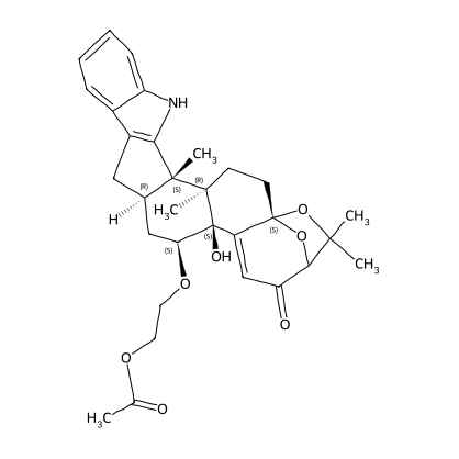 CC(=O)OCCO[C@H]1C[C@H]2Cc3c([nH]c4ccccc34)[C@]2(C)[C@@]2(C)CC[C@@]34OC(C(=O)C=C3[C@]12O)C(C)(C)O4